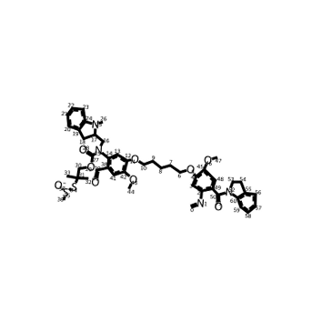 C=Nc1cc(OCCCCCOc2cc(N(CC3Cc4ccccc4N3C)C(=O)OCC(C)(C)S[S+](C)[O-])c(C=O)cc2OC)c(OC)cc1C(=O)N1CCc2ccccc21